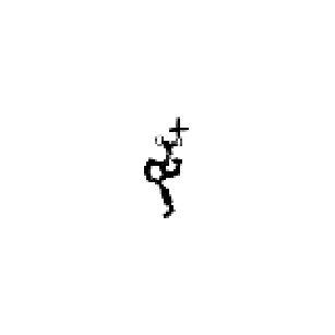 CCC#Cc1cccc2c1ccn2C(=O)OC(C)(C)C